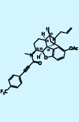 C=CCN1CC[C@@]23c4c5ccc(OC(C)=O)c4C[C@@H]1[C@@H]2CC[C@H](N(C)C(=O)C#Cc1ccc(C(F)(F)F)cc1)[C@@H]3O5